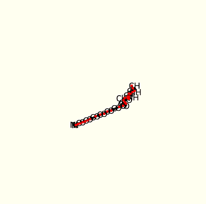 C#Cc1cccc(NC(=O)N2CCC3(CC2)NC(=O)N(c2cc(Cl)cc(C4CC(=O)N(OC(=O)CCOCCOCCOCCOCCOCCOCCOCCOCCOCCOCCOCCOCCN=[N+]=[N-])C4=O)c2)C3=O)c1